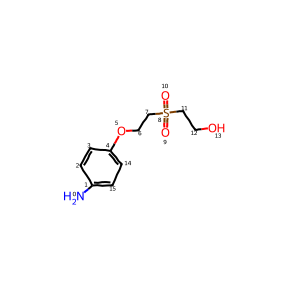 Nc1ccc(OCCS(=O)(=O)CCO)cc1